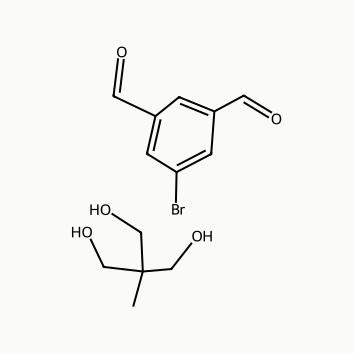 CC(CO)(CO)CO.O=Cc1cc(Br)cc(C=O)c1